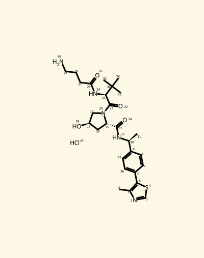 Cc1ncsc1-c1ccc([C@H](C)NC(=O)[C@@H]2C[C@@H](O)CN2C(=O)[C@@H](NC(=O)CCCN)C(C)(C)C)cc1.Cl